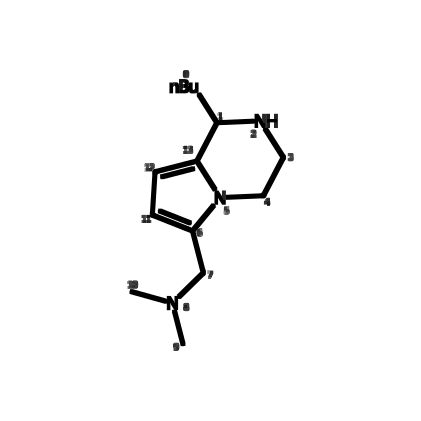 CCCCC1NCCn2c(CN(C)C)ccc21